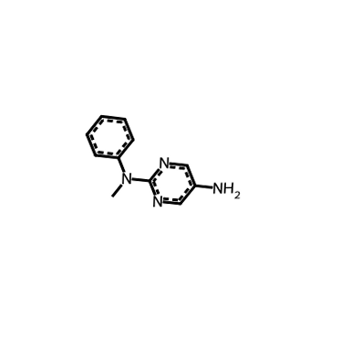 CN(c1ccccc1)c1ncc(N)cn1